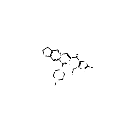 CCc1nc(C)oc1C(=O)c1cc2cc3c(cc2c(N2CCN(C)CC2)n1)NCC3